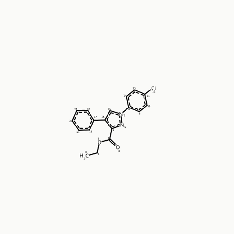 CCOC(=O)c1nn(-c2ccc(Cl)cc2)cc1-c1ccccc1